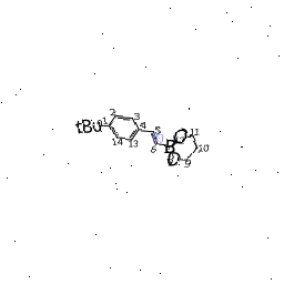 CC(C)(C)c1ccc(/C=C/B2OCCCO2)cc1